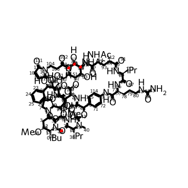 CC[C@H](C)[C@@H]([C@@H](CC(=O)N1CCC[C@H]1[C@H](OC)[C@@H](C)C(=O)N[C@H](C)[C@@H](O)c1ccccc1)OC)N(C)C(=O)[C@@H](NC(=O)[C@H](C(C)C)N(C)C(=O)OC(C(=O)N[C@H]1[C@H](O[C@H]2[C@H](O)[C@@H](NC(C)=O)[C@H](O)O[C@@H]2CO)O[C@H](CO)[C@@H](O)[C@@H]1O)c1ccc(NC(=O)[C@H](CCCNC(N)=O)NC(=O)[C@@H](NC(=O)[C@H](CCC(=O)NCCNC(=O)CCN2C(=O)C=CC2=O)NC(C)=O)C(C)C)cc1)C(C)C